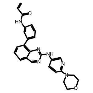 C=CC(=O)Nc1cccc(-c2cccc3cnc(Nc4ccc(N5CCOCC5)nc4)nc23)c1